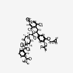 CN(C)C(=O)c1cccc(S(=O)(=O)N2CCN(CC(=O)OC(Cc3c(Cl)c[n+]([O-])cc3Cl)c3ccc(OC(F)F)c(OCC4CC4)c3)CC2)c1